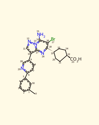 Cc1cccc(-c2ccc(-c3cnn4c(N)c(Br)c([C@H]5CC[C@H](C(=O)O)CC5)nc34)cn2)c1